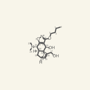 CCCCOc1noc2c1[C@@H](O)[C@@]13O[C@@H](C=C1CO)C[C@H]3[C@@H]2N(C)C